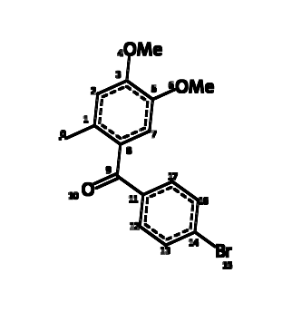 [CH2]c1cc(OC)c(OC)cc1C(=O)c1ccc(Br)cc1